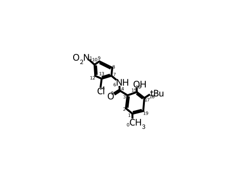 Cc1cc(C(=O)Nc2ccc([N+](=O)[O-])cc2Cl)c(O)c(C(C)(C)C)c1